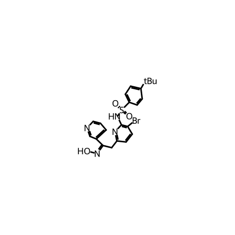 CC(C)(C)c1ccc(S(=O)(=O)Nc2nc(C/C(=N/O)c3cccnc3)ccc2Br)cc1